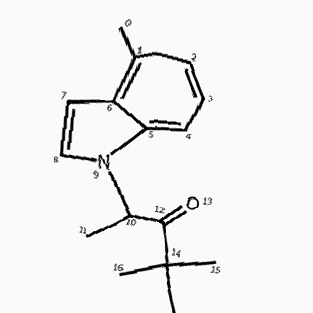 Cc1cccc2c1ccn2C(C)C(=O)C(C)(C)C